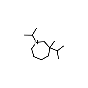 CC(C)N1CCCCC(C)(C(C)C)C1